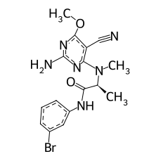 COc1nc(N)nc(N(C)[C@@H](C)C(=O)Nc2cccc(Br)c2)c1C#N